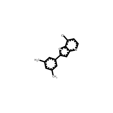 Cc1cc(C)cc(-c2cc3nccc(Cl)c3o2)c1